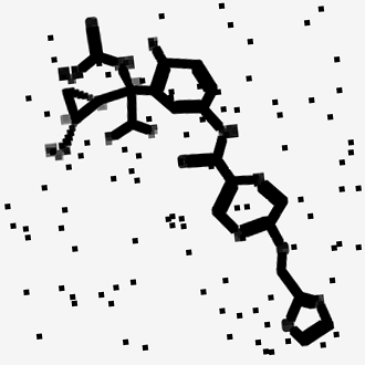 NC(=O)N[C@@](c1cc(NC(=O)c2cnc(OCc3ncco3)cn2)ccc1F)(C(F)F)[C@H]1C[C@H]1N